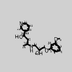 COc1cccc(OCC(O)CNC(C)CC(O)c2cccnc2)c1